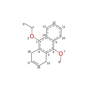 CCOc1c2c(c(OC)c3ccccc13)CC=CC2